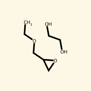 CCOCC1CO1.OCCO